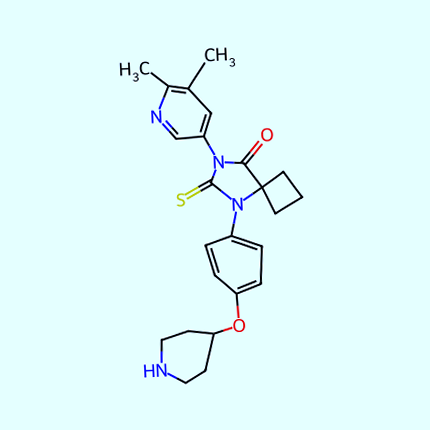 Cc1cc(N2C(=O)C3(CCC3)N(c3ccc(OC4CCNCC4)cc3)C2=S)cnc1C